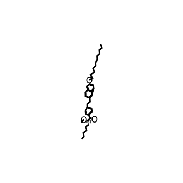 CCCCCCCCCCCCOc1ccc2cc(CCc3ccc(C(=O)[C@@H](CCCCCC)OC)cc3)ccc2c1